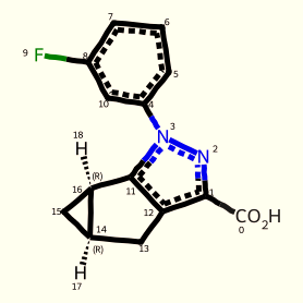 O=C(O)c1nn(-c2cccc(F)c2)c2c1C[C@H]1C[C@@H]21